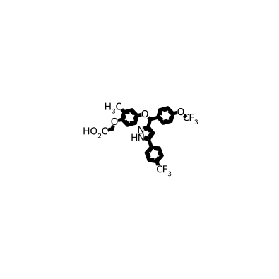 Cc1cc(OC(c2ccc(OC(F)(F)F)cc2)c2cc(-c3ccc(C(F)(F)F)cc3)[nH]n2)ccc1OCC(=O)O